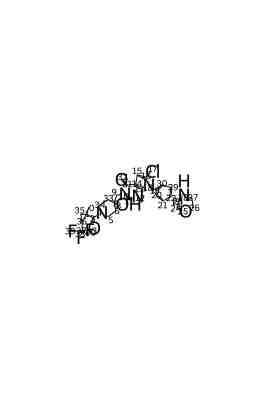 CC1(C(=O)N2CCC(O)(Cn3cnc4c(cc(Cl)n4-c4ccc([C@H]5COCCN5)cc4)c3=O)CC2)CC1C(F)(F)F